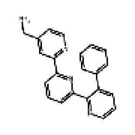 NCc1ccnc(-c2cccc(-c3ncccc3-c3ccccc3)n2)c1